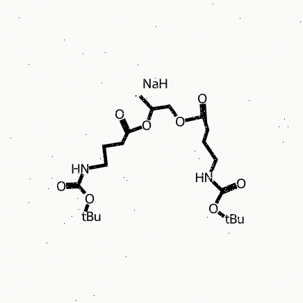 [CH2]C(COC(=O)CCCNC(=O)OC(C)(C)C)OC(=O)CCCNC(=O)OC(C)(C)C.[NaH]